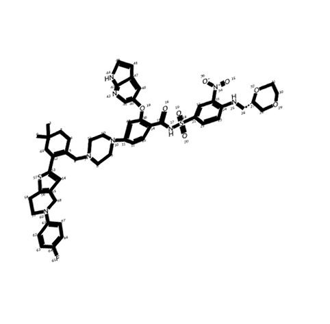 CC1(C)CCC(CN2CCN(c3ccc(C(=O)NS(=O)(=O)c4ccc(NC[C@H]5COCCO5)c([N+](=O)[O-])c4)c(Oc4cnc5[nH]ccc5c4)c3)CC2)=C(c2cc3c(s2)CCN(c2ccc(F)cc2)C3)C1